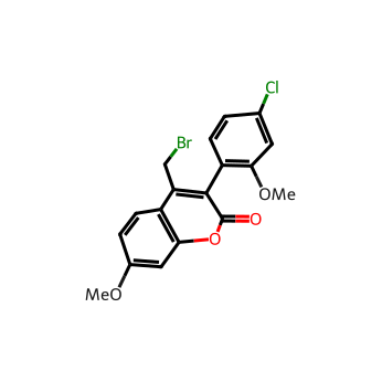 COc1ccc2c(CBr)c(-c3ccc(Cl)cc3OC)c(=O)oc2c1